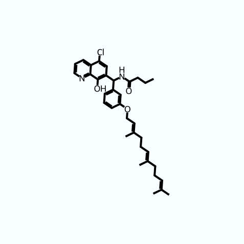 CCCC(=O)NC(c1cccc(OC/C=C(\C)CC/C=C(\C)CCC=C(C)C)c1)c1cc(Cl)c2cccnc2c1O